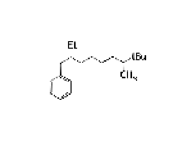 CCC(CCCCC(C)C(C)(C)C)Cc1ccccc1